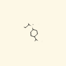 CC(C)C1CCC(N(C)C(C)CF)CC1